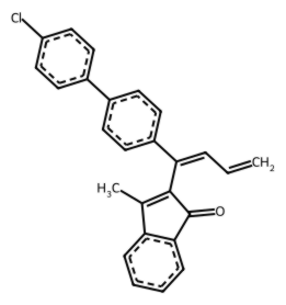 C=C/C=C(\C1=C(C)c2ccccc2C1=O)c1ccc(-c2ccc(Cl)cc2)cc1